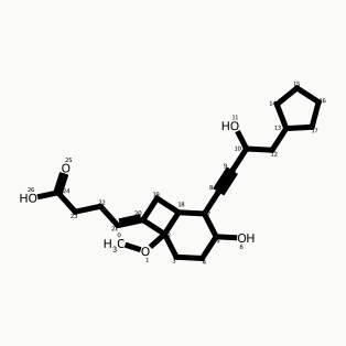 COC12CCC(O)C(C#CC(O)CC3CCCC3)C1CC2=CCCC(=O)O